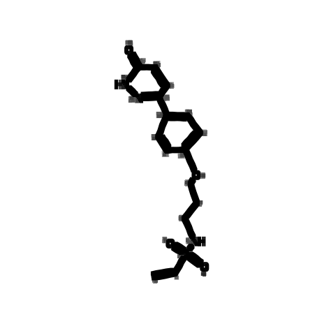 C=CS(=O)(=O)NCCCOc1ccc(-c2ccc(=O)[nH]n2)cc1